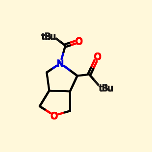 CC(C)(C)C(=O)C1C2COCC2CN1C(=O)C(C)(C)C